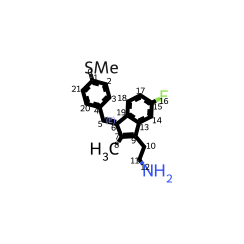 CSc1ccc(/C=C2/C(C)=C(CCN)c3cc(F)ccc32)cc1